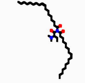 CCCCCCCC/C=C\CCCCCCCC(=O)N(C(=O)CCCCCCC/C=C\CCCCCCCC)C(=O)C(CC)N(C)C